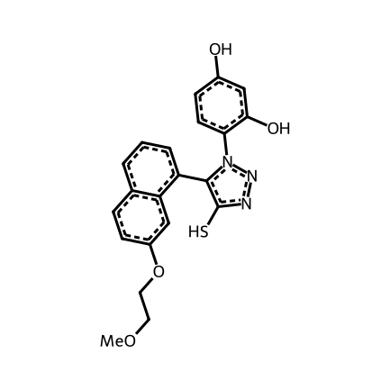 COCCOc1ccc2cccc(-c3c(S)nnn3-c3ccc(O)cc3O)c2c1